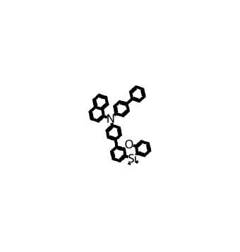 C[Si]1(C)c2ccccc2Oc2c(-c3ccc(N(c4ccc(-c5ccccc5)cc4)c4cccc5ccccc45)cc3)cccc21